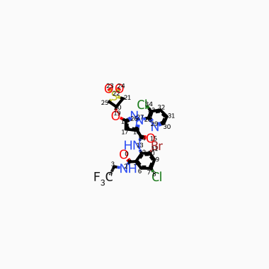 O=C(NCC(F)(F)F)c1cc(Cl)cc(Br)c1NC(=O)c1cc(OC2CS(=O)(=O)C2)nn1-c1ncccc1Cl